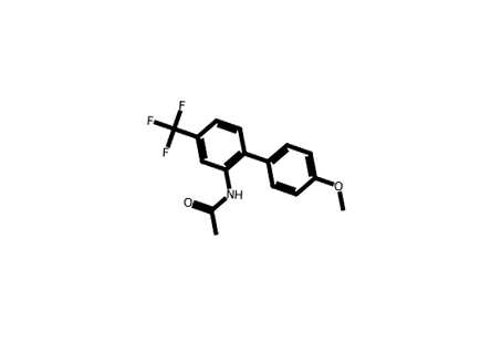 COc1ccc(-c2ccc(C(F)(F)F)cc2NC(C)=O)cc1